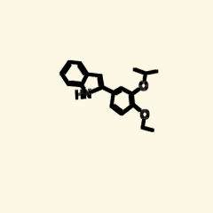 CCOc1ccc(-c2cc3ccccc3[nH]2)cc1OC(C)C